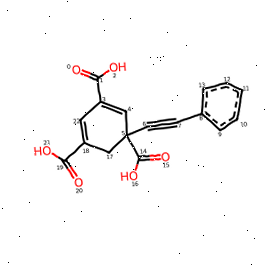 O=C(O)C1=CC(C#Cc2ccccc2)(C(=O)O)CC(C(=O)O)=C1